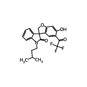 CC(C)CCN1C(=O)C2(COc3cc(O)c(C(=O)C(F)(F)F)cc32)c2ccccc21